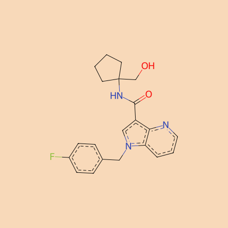 O=C(NC1(CO)CCCC1)c1cn(Cc2ccc(F)cc2)c2cccnc12